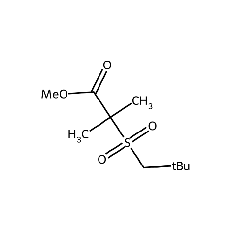 COC(=O)C(C)(C)S(=O)(=O)CC(C)(C)C